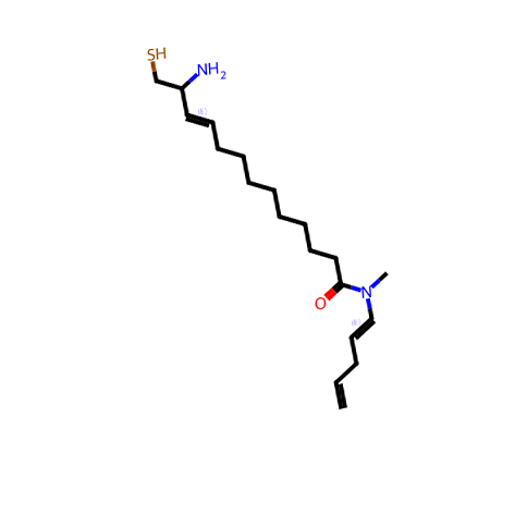 C=CC/C=C/N(C)C(=O)CCCCCCCC/C=C/C(N)CS